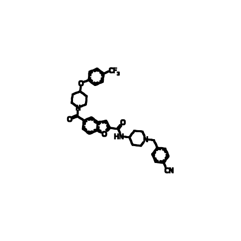 N#Cc1ccc(CN2CCC(NC(=O)c3cc4cc(C(=O)N5CCC(Oc6ccc(C(F)(F)F)cc6)CC5)ccc4o3)CC2)cc1